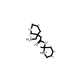 CC1(OC(=O)CC2(CN)CCCCC2)CCCCN1